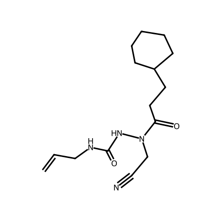 C=CCNC(=O)NN(CC#N)C(=O)CCC1CCCCC1